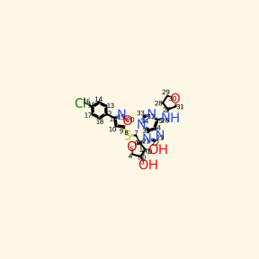 O[C@@H]1[C@@H](O)CO[C@]1(CSc1cc(-c2ccc(Cl)cc2)no1)n1cnc2c(NC3CCOC3)ncnc21